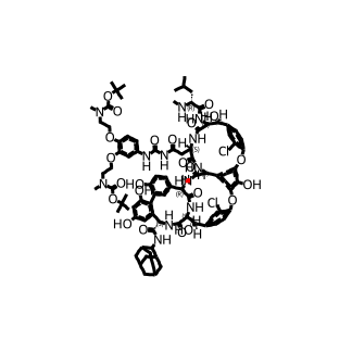 CN[C@H](CC(C)C)C(=O)N[C@H]1C(=O)N[C@@H](CC(=O)NC(=O)Nc2ccc(OCCN(C)C(=O)OC(C)(C)C)c(OCCN(C)C(=O)OC(C)(C)C)c2)C(=O)N[C@H]2C(=O)N[C@H]3C(=O)N[C@H](C(=O)N[C@H](C(=O)NC4C5CC6CC(C5)CC4C6)c4cc(O)cc(O)c4-c4cc3ccc4O)[C@H](O)c3ccc(c(Cl)c3)Oc3cc2cc(c3O)Oc2ccc(cc2Cl)[C@H]1O